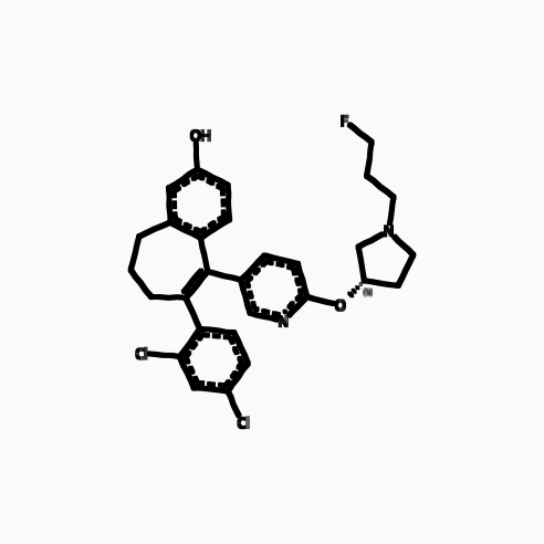 Oc1ccc2c(c1)CCCC(c1ccc(Cl)cc1Cl)=C2c1ccc(O[C@H]2CCN(CCCF)C2)nc1